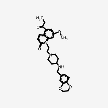 CCC(=O)c1cc(OC)cc2c1ccc(=O)n2CCN1CCC(NCc2ccc3c(c2)OCCO3)CC1